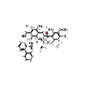 COc1c(C)c(OC)c2c(c1O)[C@H]1[C@@H]3Cc4c(OC)c(C)c(CO)c(O)c4[C@H](CNC(=O)c4ccccc4-c4ccccc4)N3[C@@H](C#N)[C@H](C2)N1C